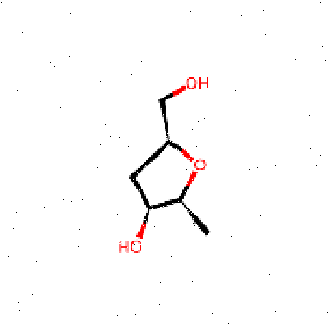 C[C@@H]1O[C@H](CO)C[C@@H]1O